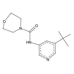 CC(C)(C)c1cncc(NC(=O)N2CCOCC2)c1